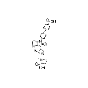 Cn1c(C(=O)O)cnc1CN1C[C@@H](F)[C@H](n2c(=O)n(-c3ccc(-c4ccc(C(=O)O)cc4)cc3)c3cccnc32)C1